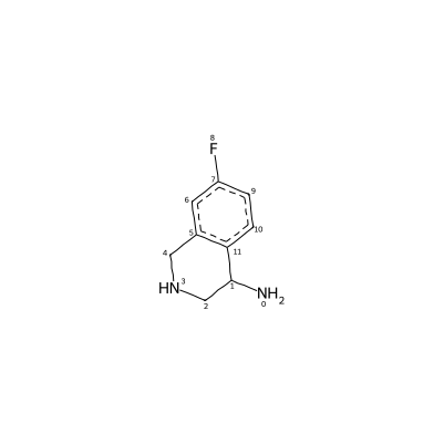 NC1CNCc2cc(F)ccc21